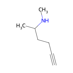 [C]#CCCC(C)NC